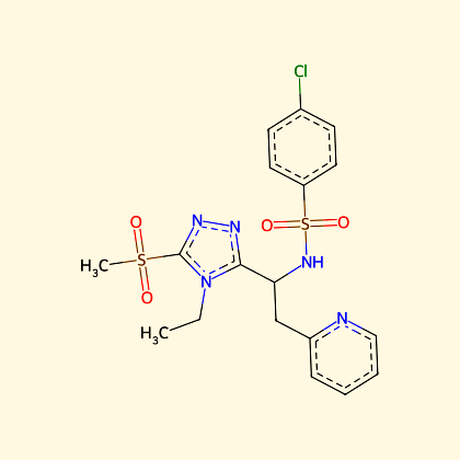 CCn1c(C(Cc2ccccn2)NS(=O)(=O)c2ccc(Cl)cc2)nnc1S(C)(=O)=O